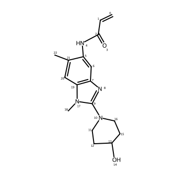 C=CC(=O)Nc1cc2nc(N3CCC(O)CC3)n(C)c2cc1C